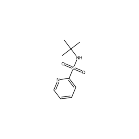 CC(C)(C)NS(=O)(=O)c1ccccn1